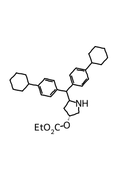 CCOC(=O)O[C@H]1CNC(C(c2ccc(C3CCCCC3)cc2)c2ccc(C3CCCCC3)cc2)C1